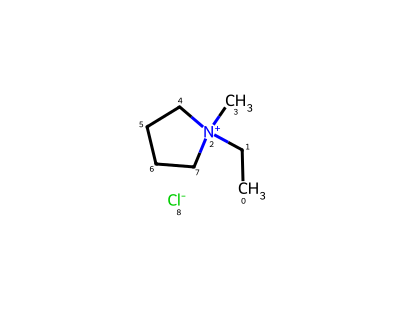 CC[N+]1(C)CCCC1.[Cl-]